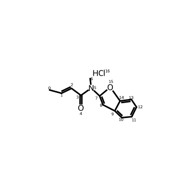 CC=CC(=O)N(C)c1cc2ccccc2o1.Cl